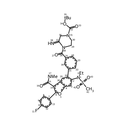 CCN(c1cc2oc(-c3ccc(F)cc3)c(C(=O)NC)c2cc1-c1cccc(C(=O)N2CCN(C(=O)OC(C)(C)C)CC2=N)c1)S(C)(=O)=O